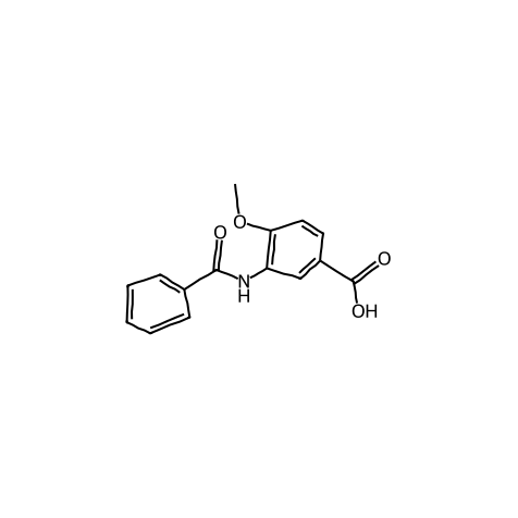 COc1ccc(C(=O)O)cc1NC(=O)c1ccccc1